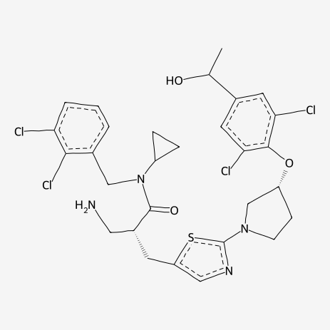 CC(O)c1cc(Cl)c(O[C@@H]2CCN(c3ncc(C[C@H](CN)C(=O)N(Cc4cccc(Cl)c4Cl)C4CC4)s3)C2)c(Cl)c1